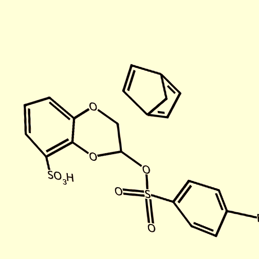 C1=CC2=CC=C1C2.CCc1ccc(S(=O)(=O)OC2COc3cccc(S(=O)(=O)O)c3O2)cc1